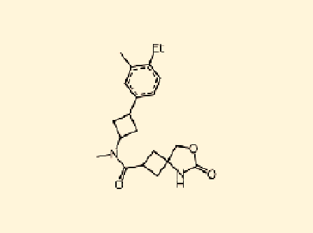 CCc1ccc(C2CC(N(C)C(=O)C3CC4(COC(=O)N4)C3)C2)cc1C